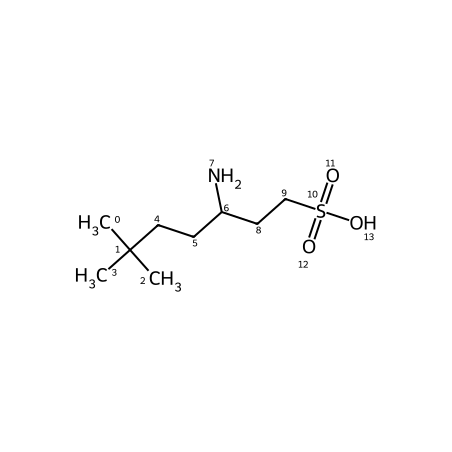 CC(C)(C)CCC(N)CCS(=O)(=O)O